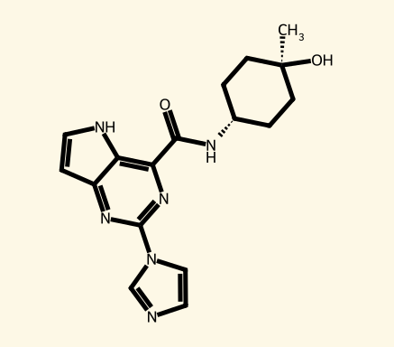 C[C@]1(O)CC[C@H](NC(=O)c2nc(-n3ccnc3)nc3cc[nH]c23)CC1